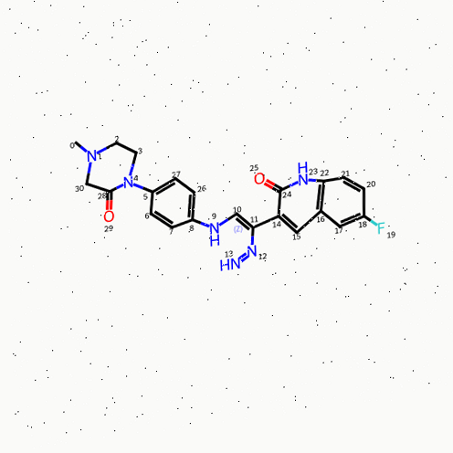 CN1CCN(c2ccc(N/C=C(\N=N)c3cc4cc(F)ccc4[nH]c3=O)cc2)C(=O)C1